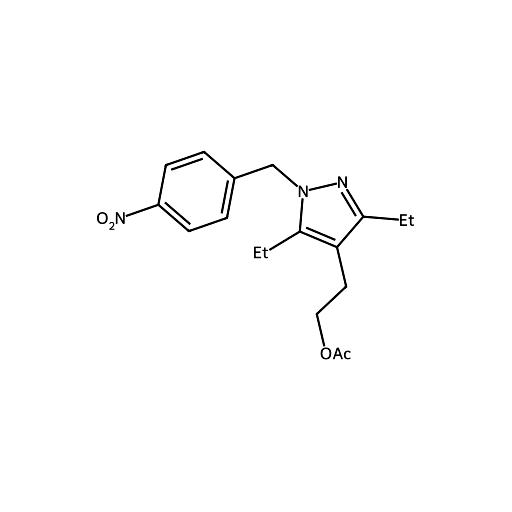 CCc1nn(Cc2ccc([N+](=O)[O-])cc2)c(CC)c1CCOC(C)=O